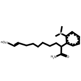 CCCCCCCCC=CCCCCCCC(C(N)=O)c1ccccc1N(C)C